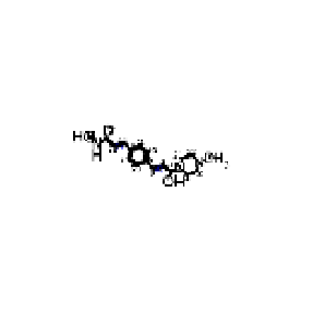 CN1CCN(C(O)/C=C/c2ccc(/C=C/C(=O)NO)cc2)CC1